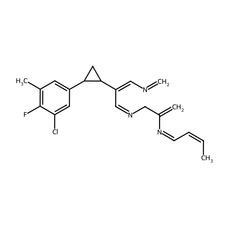 C=N/C=C(\C=N/CC(=C)/N=C\C=C/C)C1CC1c1cc(C)c(F)c(Cl)c1